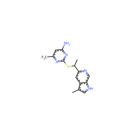 Cc1c[nH]c2cnc(C(C)Sc3nc(N)cc(C(F)(F)F)n3)cc12